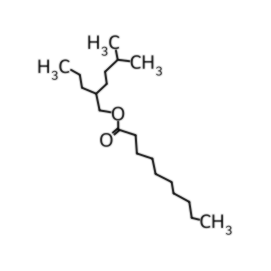 CCCCCCCCCC(=O)OCC(CCC)CCC(C)C